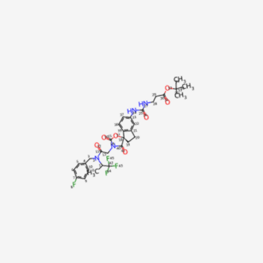 CC(N(Cc1ccc(F)cc1)C(=O)CN1C(=O)O[C@@]2(CCc3cc(NC(=O)NCCC(=O)OC(C)(C)C)ccc32)C1=O)C(F)(F)F